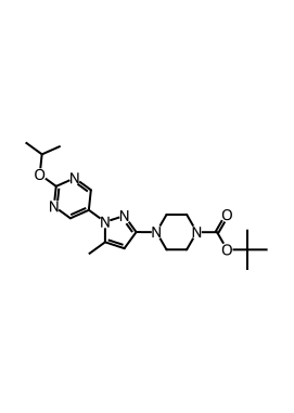 Cc1cc(N2CCN(C(=O)OC(C)(C)C)CC2)nn1-c1cnc(OC(C)C)nc1